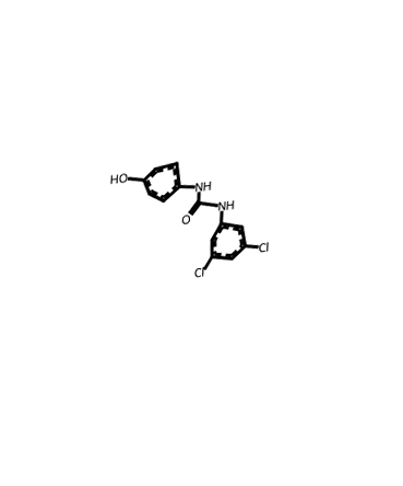 O=C(Nc1ccc(O)cc1)Nc1cc(Cl)cc(Cl)c1